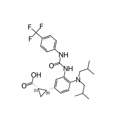 CC(C)CN(CC(C)C)c1ccc([C@@H]2C[C@@H]2C(=O)O)cc1NC(=O)Nc1ccc(C(F)(F)F)cc1